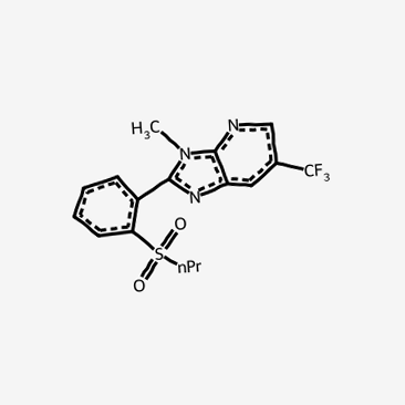 CCCS(=O)(=O)c1ccccc1-c1nc2cc(C(F)(F)F)cnc2n1C